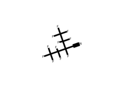 N#CC(F)(C(F)(F)C(F)(F)F)C(F)(F)C(F)(F)F